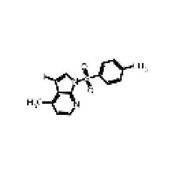 Cc1ccc(S(=O)(=O)n2cc(I)c3c(C)ccnc32)cc1